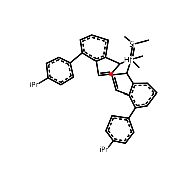 CC(C)c1ccc(-c2cccc3c2C=C[CH]3[Hf]([CH3])([CH3])([CH]2C=Cc3c(-c4ccc(C(C)C)cc4)cccc32)=[Si](C)C)cc1